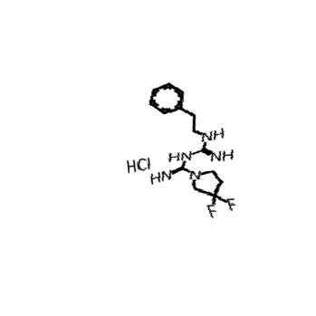 Cl.N=C(NCCc1ccccc1)NC(=N)N1CCC(F)(F)C1